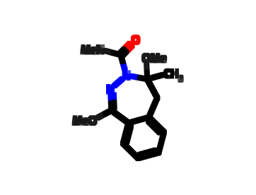 CNC(=O)N1N=C(OC)c2ccccc2CC1(C)OC